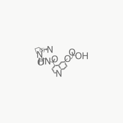 N#C[C@@H]1CCCN1C(=O)CNC(=O)c1ccnc2ccc(OCC(=O)O)cc12